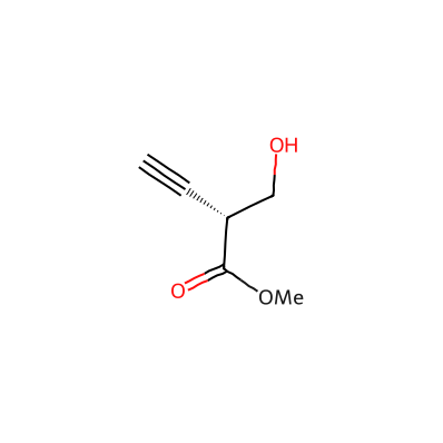 C#C[C@H](CO)C(=O)OC